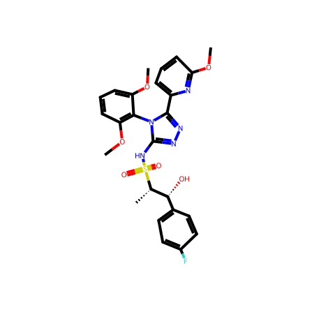 COc1cccc(-c2nnc(NS(=O)(=O)[C@@H](C)[C@H](O)c3ccc(F)cc3)n2-c2c(OC)cccc2OC)n1